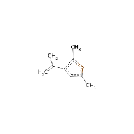 C=C(C)c1cc(C)sc1C